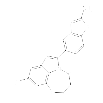 Cc1cc2c3c(c1)nc(-c1ccc4sc(N)nc4c1)n3CCCO2